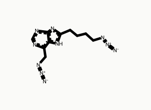 [N-]=[N+]=NCCCCc1nc2ncnc(CN=[N+]=[N-])c2[nH]1